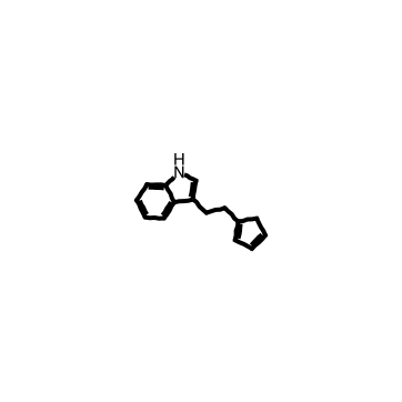 C1=CCC(CCc2c[nH]c3ccccc23)=C1